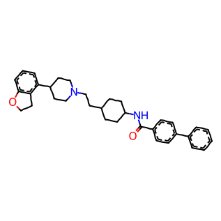 O=C(NC1CCC(CCN2CCC(c3cccc4c3CCO4)CC2)CC1)c1ccc(-c2ccccc2)cc1